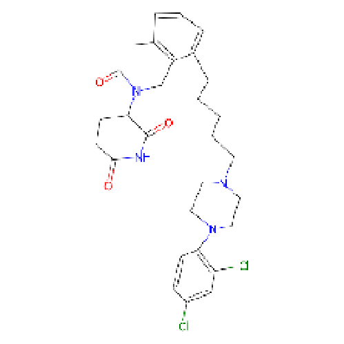 Cc1cccc(CCCCCN2CCN(c3ccc(Cl)cc3Cl)CC2)c1CN(C=O)C1CCC(=O)NC1=O